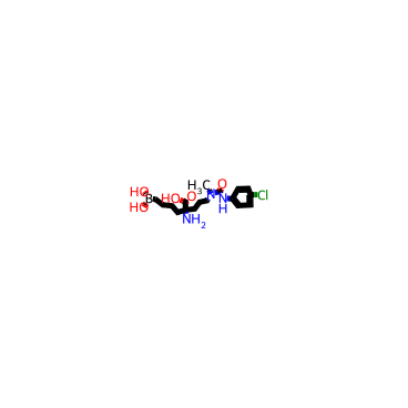 CN(CCCC(N)(CCCCB(O)O)C(=O)O)C(=O)Nc1ccc(Cl)cc1